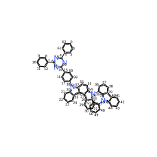 c1ccc(-c2nc(-c3ccccc3)nc(-c3ccc(-n4c5ccccc5c5c6c7ccccc7n(-c7cccc8c9ccccc9n(-c9ccccc9)c78)c6ccc54)cc3)n2)cc1